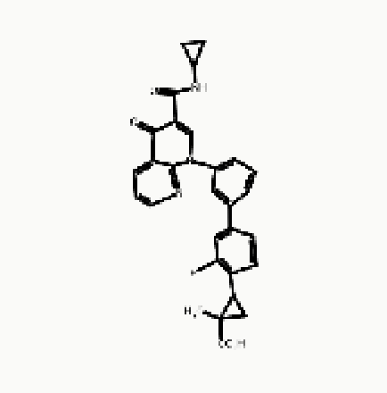 CC1(C(=O)O)CC1c1ccc(-c2cccc(-n3cc(C(=O)NC4CC4)c(=O)c4cccnc43)c2)cc1F